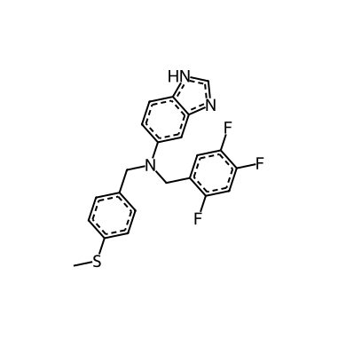 CSc1ccc(CN(Cc2cc(F)c(F)cc2F)c2ccc3[nH]cnc3c2)cc1